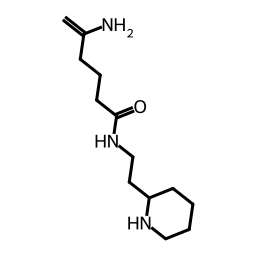 C=C(N)CCCC(=O)NCCC1CCCCN1